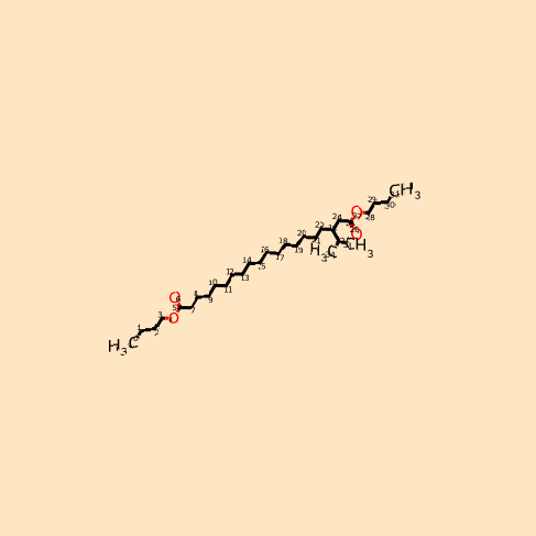 CCCCOC(=O)CCCCCCCCCCCCCCCCC(CC(=O)OCCCC)C(C)C